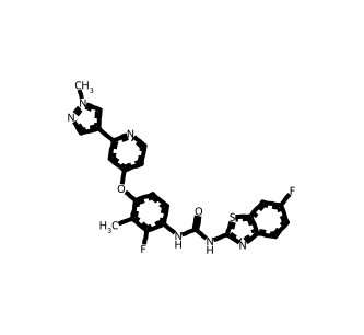 Cc1c(Oc2ccnc(-c3cnn(C)c3)c2)ccc(NC(=O)Nc2nc3ccc(F)cc3s2)c1F